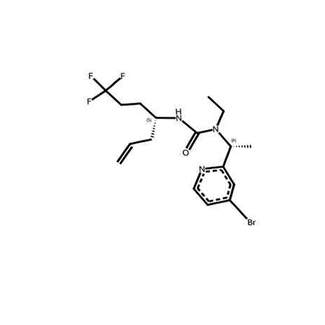 C=CC[C@H](CCC(F)(F)F)NC(=O)N(CC)[C@H](C)c1cc(Br)ccn1